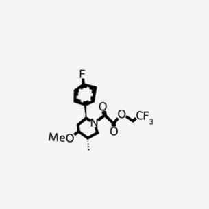 COC1C[C@@H](c2ccc(F)cc2)N(C(=O)C(=O)OCC(F)(F)F)C[C@@H]1C